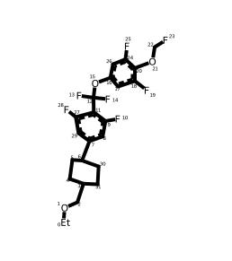 CCOCC1CCC(c2cc(F)c(C(F)(F)Oc3cc(F)c(OCF)c(F)c3)c(F)c2)CC1